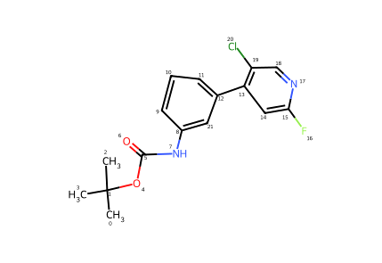 CC(C)(C)OC(=O)Nc1cccc(-c2cc(F)ncc2Cl)c1